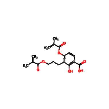 C=C(C)C(=O)OCCCc1c(OC(=O)C(=C)C)ccc(C(=O)O)c1O